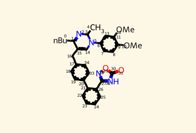 CCCCC1=NC(C)N(c2ccc(OC)c(OC)c2)C=C1Cc1ccc(-c2ccccc2-c2noc(=O)[nH]2)cc1